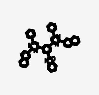 c1ccc(-c2cc(-c3cc(-c4cc(-c5ccccc5)nc(-c5ccc6ccccc6c5)n4)cc(-c4nc5ccccc5o4)c3)nc(-c3ccc4ccccc4c3)n2)cc1